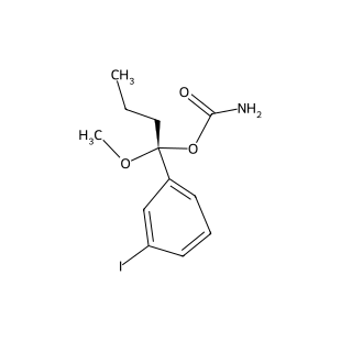 CCC[C@@](OC)(OC(N)=O)c1cccc(I)c1